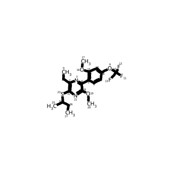 CCc1nc(-c2ccc(OC(F)(F)F)cc2OC)c(OC)nc1SC(C)CC